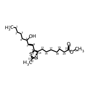 CCCCCC(O)/C=C/c1sc(C)nc1CCCCCCC(=O)OC